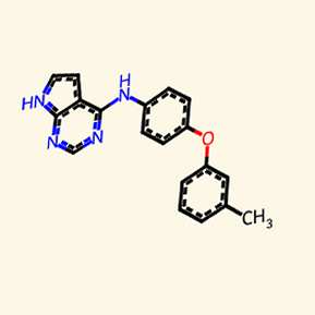 Cc1cccc(Oc2ccc(Nc3ncnc4[nH]ccc34)cc2)c1